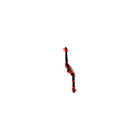 C=CC(=O)OCCCCCCCCCCCCCCOc1ccc(C(=O)Oc2cc(F)c(OC(=O)c3ccc(OCCCCCCCCCCCCCCOC(=O)C=C)cc3)c(F)c2F)cc1